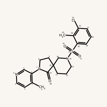 Cc1ccncc1N1CCC2(CCCN(S(=O)(=O)c3cccc(Cl)c3C)C2)C1=O